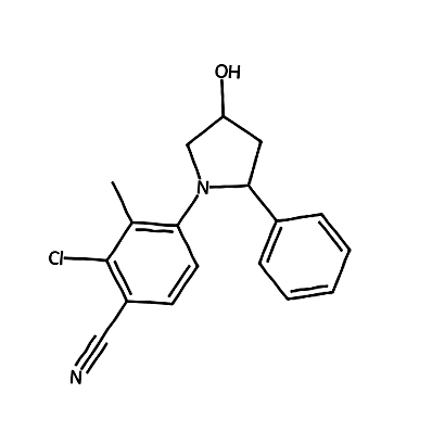 Cc1c(N2CC(O)CC2c2ccccc2)ccc(C#N)c1Cl